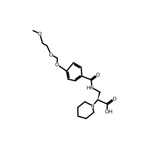 COCCOCOc1ccc(C(=O)NC[C@@H](C(=O)O)N2CCCCC2)cc1